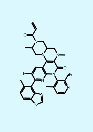 C=CC(=O)N1CC2CN(C)c3c(c4cc(F)c(-c5c(C)ccc6[nH]cnc56)nc4n(-c4c(C)ccnc4C(C)C)c3=O)N2CC1C